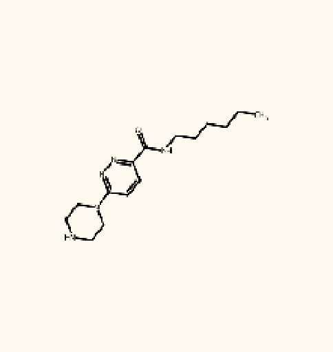 CCCCCCNC(=O)c1ccc(N2CCNCC2)nn1